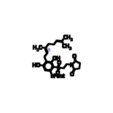 CCCCCc1cc(O)c(C/C=C(\C)CCC=C(C)C)c(O)c1S(=O)(=O)CCN1C(=O)CCC1=O